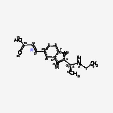 CCN[C@@H](C)c1nc2ccc(/C=C/C(=O)O)cc2[nH]1